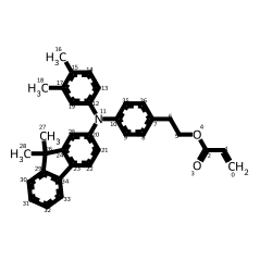 C=CC(=O)OCCc1ccc(N(c2ccc(C)c(C)c2)c2ccc3c(c2)C(C)(C)c2ccccc2-3)cc1